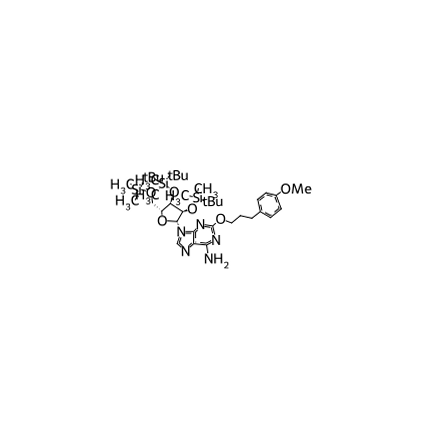 COc1ccc(CCCOc2nc(N)c3ncn([C@@H]4O[C@H](CO[Si](C)(C)C(C)(C)C)[C@@H](O[Si](C)(C)C(C)(C)C)[C@H]4O[Si](C)(C)C(C)(C)C)c3n2)cc1